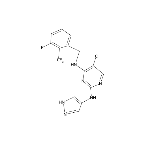 Fc1cccc(CNc2nc(Nc3cn[nH]c3)ncc2Cl)c1C(F)(F)F